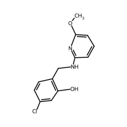 COc1cccc(NCc2ccc(Cl)cc2O)n1